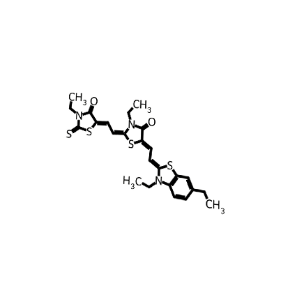 CCc1ccc2c(c1)SC(=CC=c1s/c(=C/C=C3SC(=S)N(CC)C3=O)n(CC)c1=O)N2CC